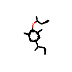 CCC(C)Oc1c(C)cc(C(C)CC)cc1C